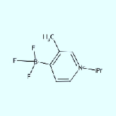 Cc1c[n+](C(C)C)ccc1[B-](F)(F)F